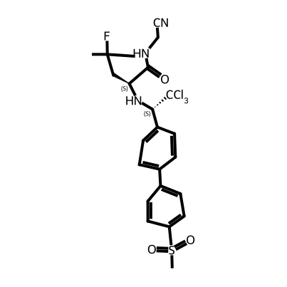 CC(C)(F)C[C@H](N[C@@H](c1ccc(-c2ccc(S(C)(=O)=O)cc2)cc1)C(Cl)(Cl)Cl)C(=O)NCC#N